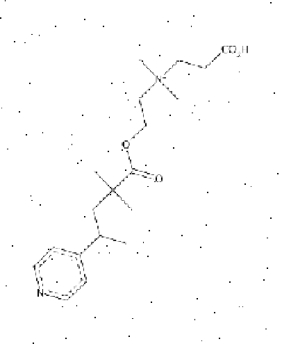 CC(CC(C)(C)C(=O)OCC[N+](C)(C)CCC(=O)O)c1ccncc1